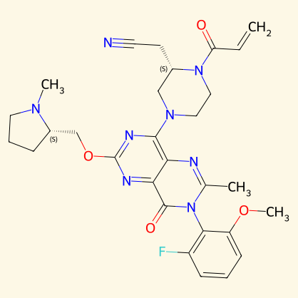 C=CC(=O)N1CCN(c2nc(OC[C@@H]3CCCN3C)nc3c(=O)n(-c4c(F)cccc4OC)c(C)nc23)C[C@@H]1CC#N